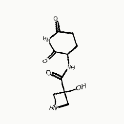 O=C1CCC(NC(=O)C2(O)CNC2)C(=O)N1